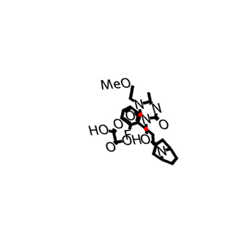 COCCn1c(C)nc(=O)n(CCCN2C3CCC2CC(OCc2ccccc2F)C3)c1=O.O=C(O)C(=O)O